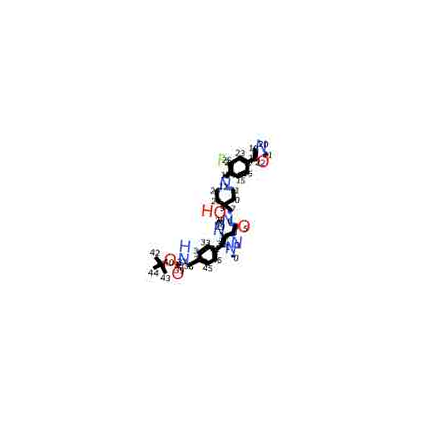 Cn1nc2c(=O)n(CC3(O)CCN(Cc4ccc(-c5cnco5)cc4F)CC3)cnc2c1-c1ccc(CNC(=O)OC(C)(C)C)cc1